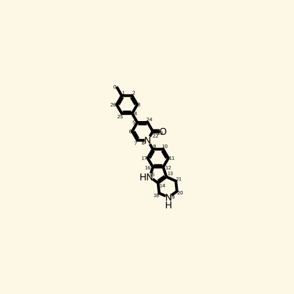 Cc1ccc(-c2ccn(-c3ccc4c5c([nH]c4c3)CNCC5)c(=O)c2)cc1